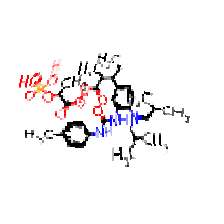 CCC(c1ccc(N(CC(C)C)CC(C)C)c(NC(=O)Nc2ccc(C)cc2)c1)C(C)C(=O)OOC(=O)C(C)OP(=O)(O)O